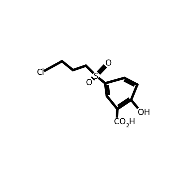 O=C(O)c1cc(S(=O)(=O)CCCCl)ccc1O